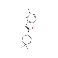 Cc1ccc2oc(C3CCC(C)(C)CC3)cc2c1